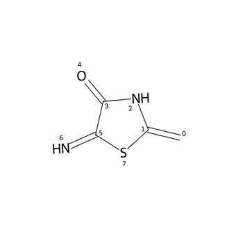 C=C1NC(=O)C(=N)S1